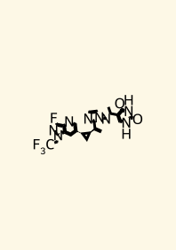 C=C(c1nccn1/N=C(\C)c1c[nH]c(=O)[nH]c1=O)[C@H]1C[C@@H]1c1cnc2c(F)nn(CC(F)(F)F)c2c1